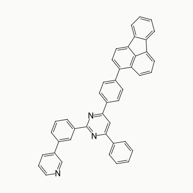 c1ccc(-c2cc(-c3ccc(-c4ccc5c6c(cccc46)-c4ccccc4-5)cc3)nc(-c3cccc(-c4cccnc4)c3)n2)cc1